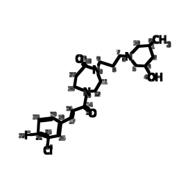 CC1CC(O)CN(CCCN2CCN(C(=O)C=Cc3ccc(F)c(Cl)c3)CCC2=O)C1